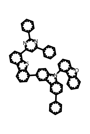 c1ccc(-c2ccc3c(c2)c2cc(-c4cccc5c4sc4c(-c6cc(-c7ccccc7)nc(-c7ccccc7)n6)cccc45)ccc2n3-c2cccc3oc4ccccc4c23)cc1